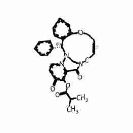 CC(C)C(=O)Oc1c2n(ccc1=O)N1CN(C/C=C\COc3ccccc3[C@H]1c1ccccc1)C2=O